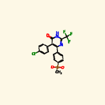 CS(=O)(=O)c1ccc(-c2nc(C(F)(F)F)[nH]c(=O)c2-c2ccc(Cl)cc2)cc1